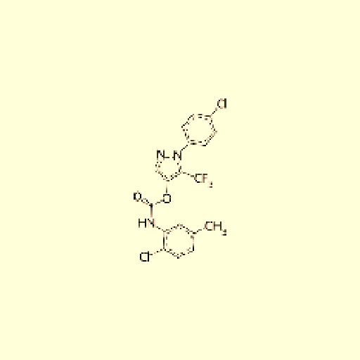 Cc1ccc(Cl)c(NC(=O)Oc2cnn(-c3ccc(Cl)cc3)c2C(F)(F)F)c1